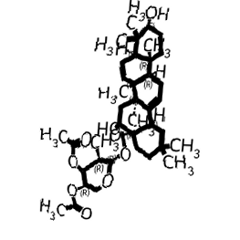 CC(=O)OC1[C@@H](C)[C@@H](OC(=O)[C@]23CCC(C)(C)C[C@H]2C2=CC[C@@H]4[C@@]5(C)CC[C@H](O)C(C)(C)[C@@H]5CC[C@@]4(C)[C@]2(C)CC3O)OC[C@H]1OC(C)=O